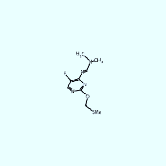 CSCOc1ncc(F)c(/N=C/N(C)C)n1